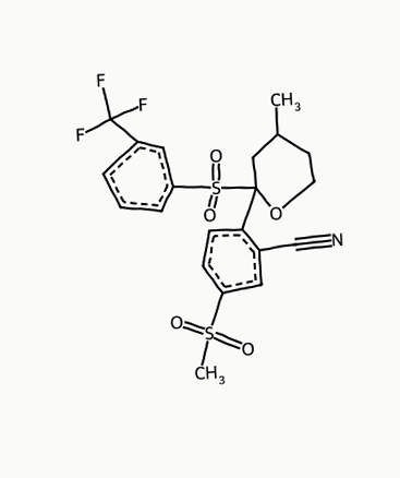 CC1CCOC(c2ccc(S(C)(=O)=O)cc2C#N)(S(=O)(=O)c2cccc(C(F)(F)F)c2)C1